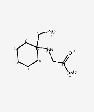 COC(=O)CNC1(CN=O)CCCCC1